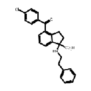 O=C(c1ccc(Cl)cc1)c1cccc2c1CCC2(NCCc1ccccc1)C(=O)O